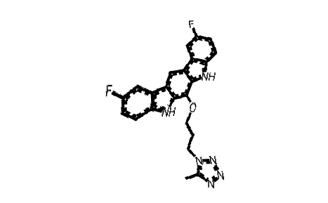 Cc1nnnn1CCCOc1c2[nH]c3ccc(F)cc3c2cc2c1[nH]c1ccc(F)cc12